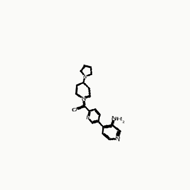 Nc1cnccc1-c1ccc(C(=O)N2CCC(N3CCCC3)CC2)nc1